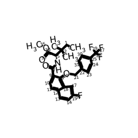 CCC(C)(C)[C@H](NC(=O)c1ccc2ccc(F)cc2c1OCc1ccc(C(F)(F)F)cc1)C(=O)OC